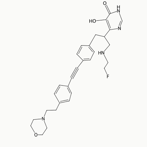 O=c1[nH]cnc(C(CNCCF)Cc2ccc(C#Cc3ccc(CCN4CCOCC4)cc3)cc2)c1O